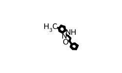 Cc1ccc2[nH]c(CC(=O)c3ccccc3)nc2c1